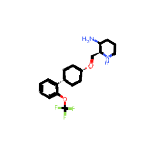 NC1CCCN[C@H]1CO[C@H]1CC[C@@H](c2ccccc2OC(F)(F)F)CC1